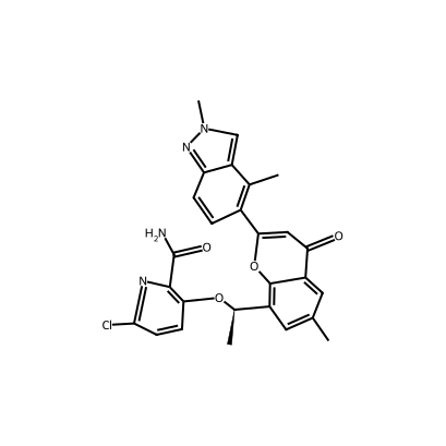 Cc1cc([C@@H](C)Oc2ccc(Cl)nc2C(N)=O)c2oc(-c3ccc4nn(C)cc4c3C)cc(=O)c2c1